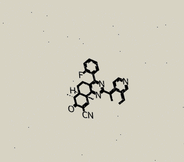 C/C=c1/cncc/c1=C(/C)c1nc(-c2ccccc2F)c2c(n1)[C@]1(C)C=C(C#N)C(=O)[C@H](C)[C@H]1CC2